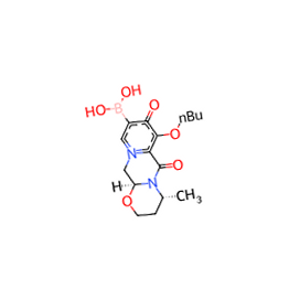 CCCCOc1c2n(cc(B(O)O)c1=O)C[C@@H]1OCC[C@@H](C)N1C2=O